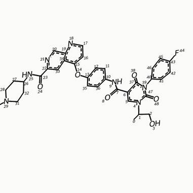 CC(CO)n1cc(C(=O)Nc2ccc(Oc3ccnc4cnc(C(=O)NC5CCN(C)CC5)cc34)cc2)c(=O)n(-c2ccc(F)cc2)c1=O